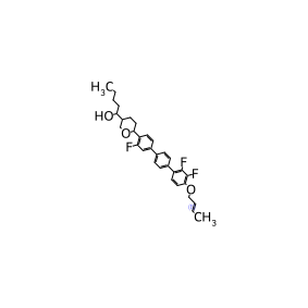 C/C=C/COc1ccc(-c2ccc(-c3ccc(C4CCC(C(O)CCCC)CO4)c(F)c3)cc2)c(F)c1F